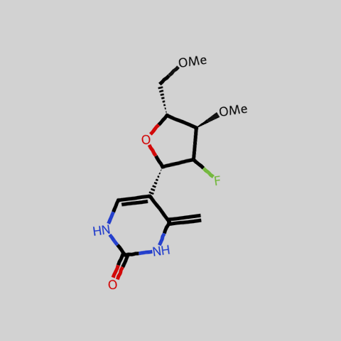 C=C1NC(=O)NC=C1[C@@H]1O[C@H](COC)[C@@H](OC)C1F